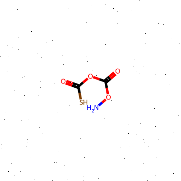 NOC(=O)OC(=O)S